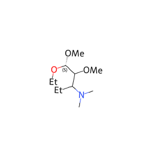 CCO[C@H](OC)C(OC)C(CC)N(C)C